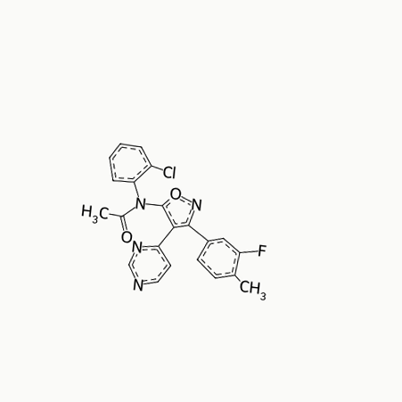 CC(=O)N(c1ccccc1Cl)c1onc(-c2ccc(C)c(F)c2)c1-c1ccncn1